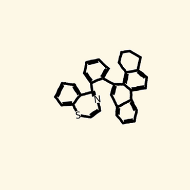 C1=CSc2ccccc2C(c2ccccc2-c2cc3ccccc3c3ccc4c(c23)CCCC4)=N1